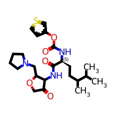 CC(C)C(C)CC[C@H](NC(=O)Oc1ccsc1)C(=O)NC1C(=O)COC1CN1CCCC1